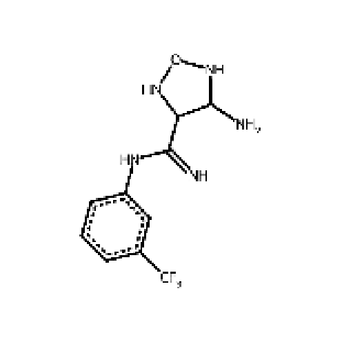 N=C(Nc1cccc(C(F)(F)F)c1)C1NONC1N